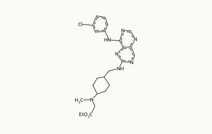 CCOC(=O)CN(C)C1CCC(CNc2ncc3ncnc(Nc4cccc(Cl)c4)c3n2)CC1